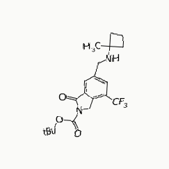 CC1(NCc2cc3c(c(C(F)(F)F)c2)CN(C(=O)OC(C)(C)C)C3=O)CCC1